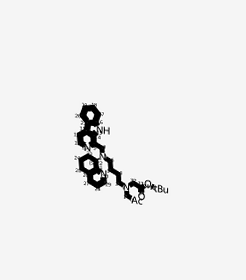 CC(=O)CN(CCCCN(Cc1nccc2c1[nH]c1ccccc12)[C@H]1CCCc2cccnc21)CC(=O)OC(C)(C)C